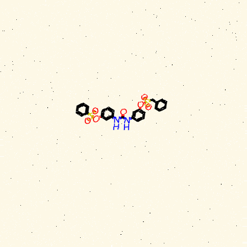 O=C(Nc1cccc(OS(=O)(=O)Cc2ccccc2)c1)Nc1cccc(OS(=O)(=O)c2ccccc2)c1